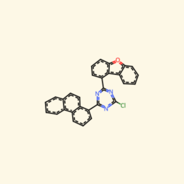 Clc1nc(-c2cccc3c2ccc2ccccc23)nc(-c2cccc3oc4ccccc4c23)n1